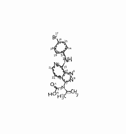 CC(C)N(C(=O)O)c1nnc2c(Nc3ccc(Br)cc3)nccn12